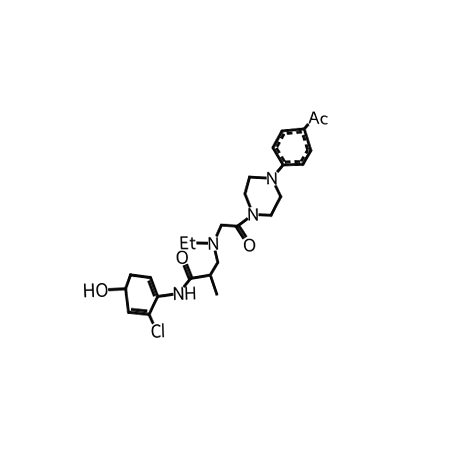 CCN(CC(=O)N1CCN(c2ccc(C(C)=O)cc2)CC1)CC(C)C(=O)NC1=CCC(O)C=C1Cl